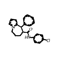 O=C(Nc1ccc(Cl)cc1)C1CCCn2cccc2C1c1ccccc1